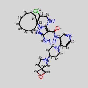 Nc1nn2c(c1C(=O)Nc1cnccc1N1CCC(N3CCC4(COC4)C3)CC1)NCC(Cl)C21CCCCCCCCC1